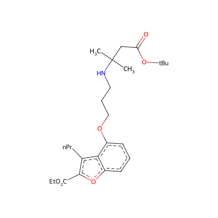 CCCc1c(C(=O)OCC)oc2cccc(OCCCNC(C)(C)CC(=O)OC(C)(C)C)c12